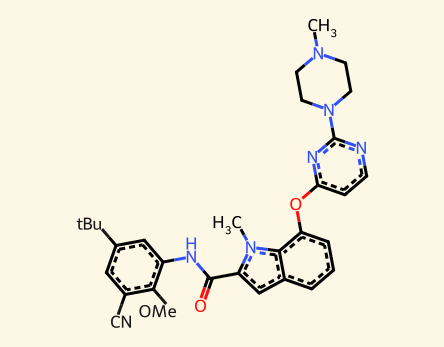 COc1c(C#N)cc(C(C)(C)C)cc1NC(=O)c1cc2cccc(Oc3ccnc(N4CCN(C)CC4)n3)c2n1C